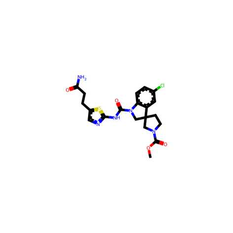 COC(=O)N1CCC2(C1)CN(C(=O)Nc1ncc(CCC(N)=O)s1)c1ccc(Cl)cc12